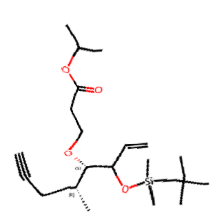 C#CC[C@@H](C)[C@H](OCCC(=O)OC(C)C)C(C=C)O[Si](C)(C)C(C)(C)C